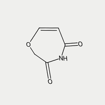 O=C1C=COCC(=O)N1